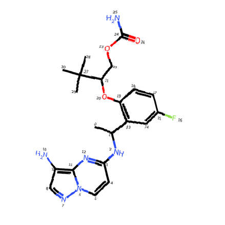 CC(Nc1ccn2ncc(N)c2n1)c1cc(F)ccc1OC(COC(N)=O)C(C)(C)C